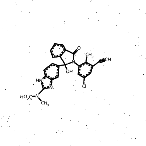 C#Cc1cc(Cl)cc(N2C(=O)c3ccccc3C2(O)c2ccc3[nH]c(N(C)C(=O)O)nc3c2)c1C